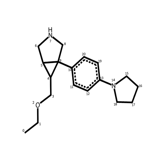 CCOCC1C2CNCC21c1ccc(N2CCCC2)cc1